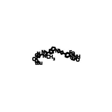 Cc1nc(-c2cc(C(=O)OC(C)(C)C)on2)ncc1-c1ccc2c(c1)CCC2N1CC2(CC(c3ccc(N4CCC(=O)NC4=O)c(F)c3)C2)C1